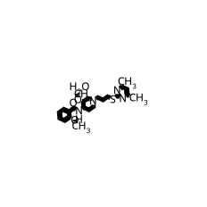 COc1ccccc1C(=O)NC1CCN(CCCSc2nc(C)cc(C)n2)CC1OC.O